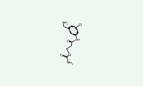 NCc1cc(Cl)cc(NC(=O)CCOC(N)=O)c1